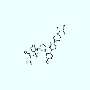 CCOC(=O)c1cnn(C2CCCN(c3cc(Cl)ccc3-c3ccc(N4CCN(C(F)C(F)F)CC4)nc3)C2)c1C(F)(F)F